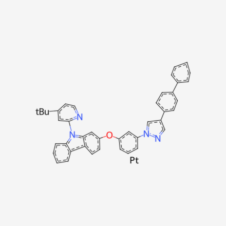 CC(C)(C)c1ccnc(-n2c3ccccc3c3ccc(Oc4cccc(-n5cc(-c6ccc(-c7ccccc7)cc6)cn5)c4)cc32)c1.[Pt]